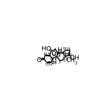 C[C@]12CC[C@H]3[C@@H](C[C@@H](O)C4=CC(=O)C=C[C@@]43O)[C@@H]1CC[C@@H]2O